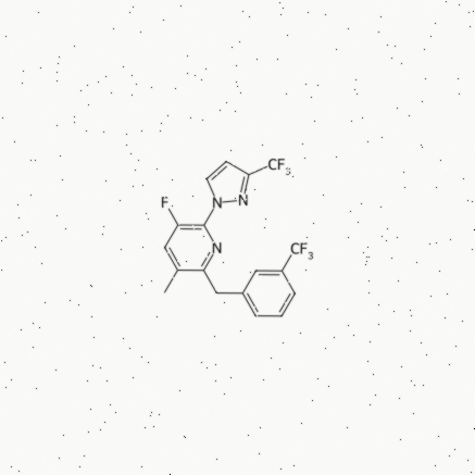 Cc1cc(F)c(-n2ccc(C(F)(F)F)n2)nc1Cc1cccc(C(F)(F)F)c1